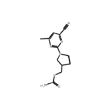 Cc1cc(C#N)nc(N2CCC(COC(N)=O)C2)n1